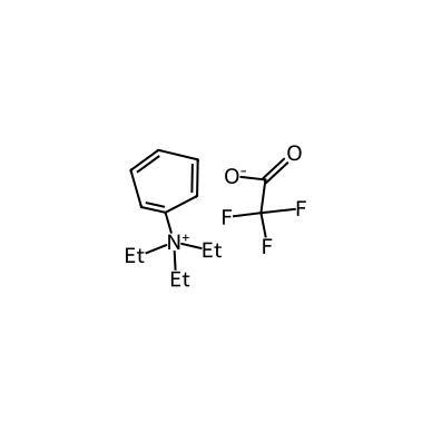 CC[N+](CC)(CC)c1ccccc1.O=C([O-])C(F)(F)F